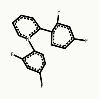 Fc1ccc(-c2cccc[n+]2-c2ccc(F)cc2F)c(F)c1